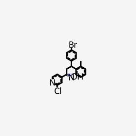 Cc1ccccc1C(C/C(=N\O)c1ccnc(Cl)c1)c1ccc(Br)cc1